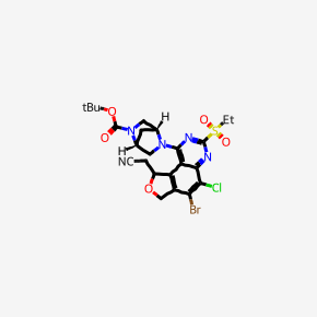 CCS(=O)(=O)c1nc(N2C[C@H]3C[C@@H]2CN3C(=O)OC(C)(C)C)c2c3c(c(Br)c(Cl)c2n1)COC3CC#N